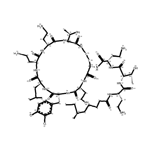 CC[C@H](C)CCCCC(=O)N[C@@H](CCN)C(=O)N[C@H](C(=O)N[C@@H](CCN)C(=O)N[C@H]1CCNC(=O)[C@H]([C@@H](C)O)NC(=O)[C@H](CCN)NC(=O)[C@H](CCN)NC(=O)[C@H](CC(C)C)NC(=O)[C@@H](Cc2ccc(Cl)c(Cl)c2)NC(=O)[C@H](CCN)NC1=O)[C@@H](C)O